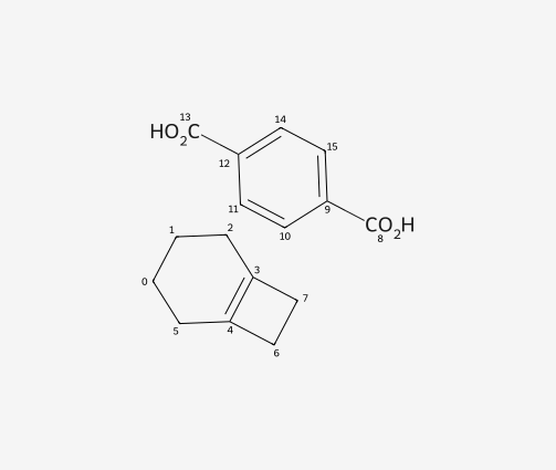 C1CCC2=C(C1)CC2.O=C(O)c1ccc(C(=O)O)cc1